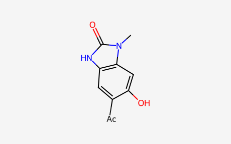 CC(=O)c1cc2[nH]c(=O)n(C)c2cc1O